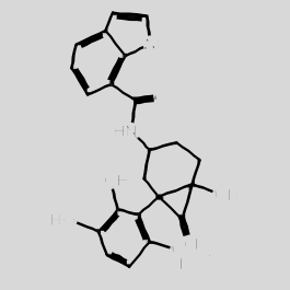 C=C1C2(O)CCC(NC(=O)c3cccc4cc[nH]c34)CC12c1c(C)ccc(O)c1O